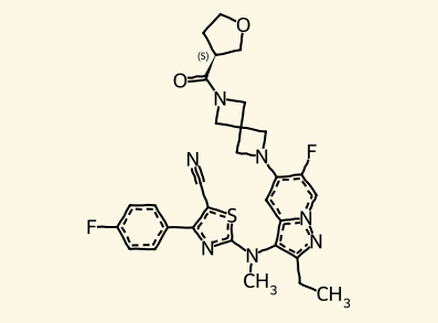 CCc1nn2cc(F)c(N3CC4(CN(C(=O)[C@H]5CCOC5)C4)C3)cc2c1N(C)c1nc(-c2ccc(F)cc2)c(C#N)s1